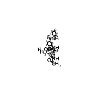 COc1ccc(C(=O)Nc2ccccc2)cc1NS(=O)(=O)c1sc(NC(C)=O)nc1C